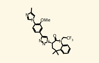 COc1cc(-c2cn([C@@H]3CC(C)(C)c4ccccc4N(CC(F)(F)F)C3=O)nn2)ccc1-n1cnc(C)c1